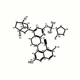 [2H]C([2H])(Oc1nc2c(c(N3C[C@H]4CC[C@@H](C3)N4)n1)CCN(c1cc(O)cc3ccc(F)c(C#C)c13)C2)[C@@H]1CCCN1C